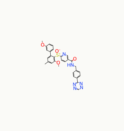 COc1cccc(-c2cc(C)cc(OC)c2[S+]([O-])c2ccc(C(=O)NCc3ccc(-c4nncnn4)cc3)cn2)c1